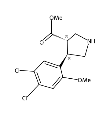 COC(=O)[C@@H]1CNC[C@H]1c1cc(Cl)c(Cl)cc1OC